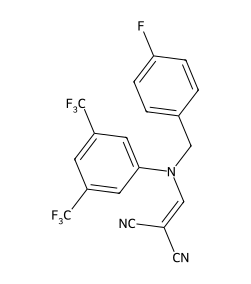 N#CC(C#N)=CN(Cc1ccc(F)cc1)c1cc(C(F)(F)F)cc(C(F)(F)F)c1